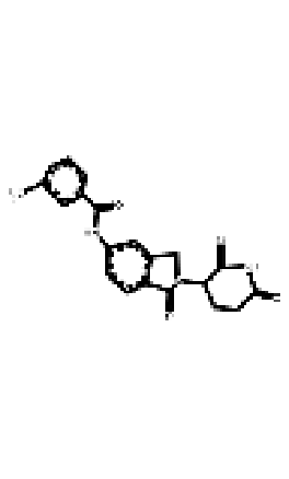 O=C1CCC(N2Cc3cc(NC(=O)c4cccc(C(F)(F)F)c4)ccc3C2=O)C(=O)N1